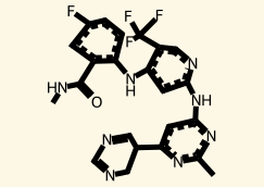 CNC(=O)c1cc(F)ccc1Nc1cc(Nc2cc(C3C=NC=NC3)nc(C)n2)ncc1C(F)(F)F